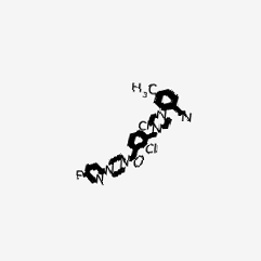 Cc1ccc(C#N)c(N2CCN(Cc3c(Cl)ccc(C(=O)N4CCN(c5ccc(F)cn5)CC4)c3Cl)CC2)c1